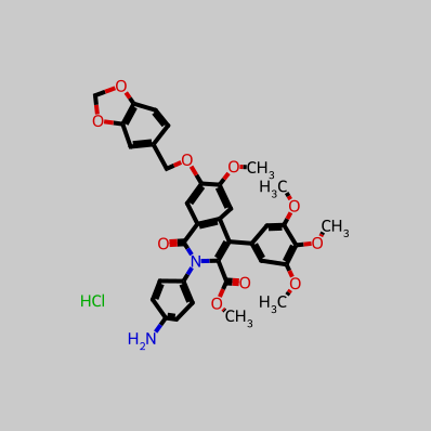 COC(=O)c1c(-c2cc(OC)c(OC)c(OC)c2)c2cc(OC)c(OCc3ccc4c(c3)OCO4)cc2c(=O)n1-c1ccc(N)cc1.Cl